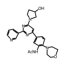 CC(=O)Nc1cc(-c2cc(N3CCC(O)C3)nc(-c3cccnc3)n2)ccc1N1CCOCC1